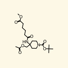 COC(=O)CCCCC(=O)NC1(COC(C)=O)CCN(C(=O)OC(C)(C)C)CC1